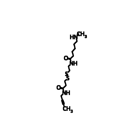 CC#CCNC(=O)CCSSCCNC(=O)CCCCCNC